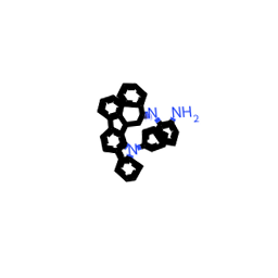 Nc1ccccc1/N=C(\CC1c2ccccc2-c2ccc3c4ccccc4n(-c4ccccc4)c3c21)c1ccccc1